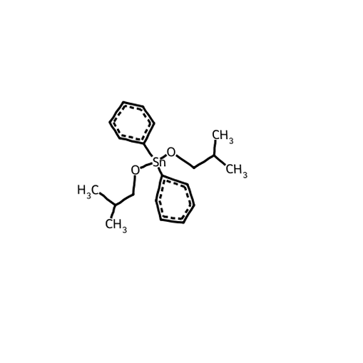 CC(C)C[O][Sn]([O]CC(C)C)([c]1ccccc1)[c]1ccccc1